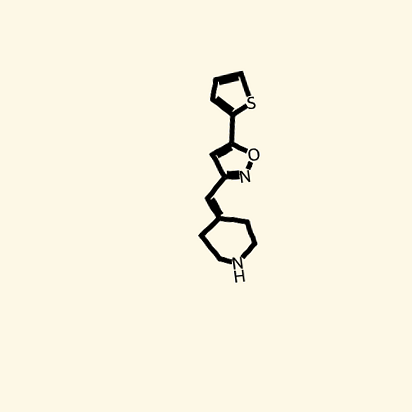 C(=C1CCNCC1)c1cc(-c2cccs2)on1